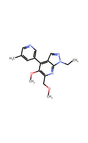 CCn1ncc2c(-c3cncc(C)c3)c(OC)c(COC)nc21